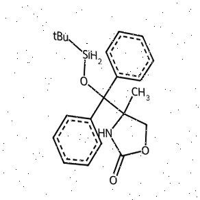 CC(C)(C)[SiH2]OC(c1ccccc1)(c1ccccc1)C1(C)COC(=O)N1